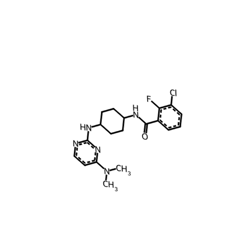 CN(C)c1ccnc(NC2CCC(NC(=O)c3cccc(Cl)c3F)CC2)n1